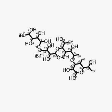 CCC(C)C(O)C(O)C(O)C(O)O[C@@H](C(C)CC)C(O)C(O)C(O)OC(C(O)CC)C(O)C(O)C(C)OC(C(O)CO)C(C)C(O)C(C)O